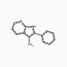 Cc1c(-c2ccccc2)[nH]c2ncccc12